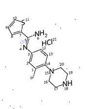 Cc1cc(/N=C(\N)c2cccs2)ccc1N1CCNCC1.Cl